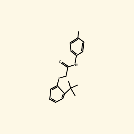 Cc1ccc(NC(=O)COc2ccccc2C(C)(C)C)cc1